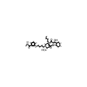 CCCCN1C(=O)[C@@H]([C@H](O)C2CCCCC2)NC(=O)C12CCN(CCCCOc1cccc(C(=O)NC)c1)CC2.Cl